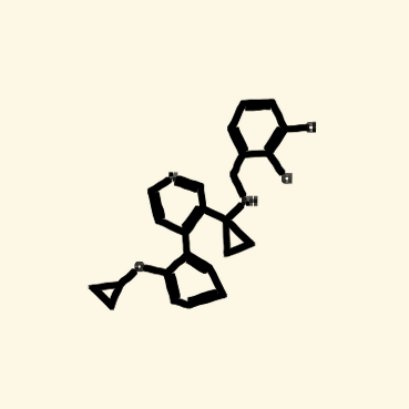 Clc1cccc(CNC2(c3cnccc3-c3ccccc3OC3CC3)CC2)c1Cl